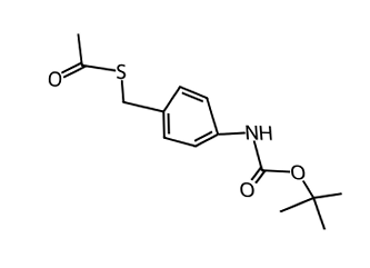 CC(=O)SCc1ccc(NC(=O)OC(C)(C)C)cc1